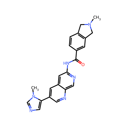 CN1Cc2ccc(C(=O)Nc3cc4cc(-c5cncn5C)cnc4cn3)cc2C1